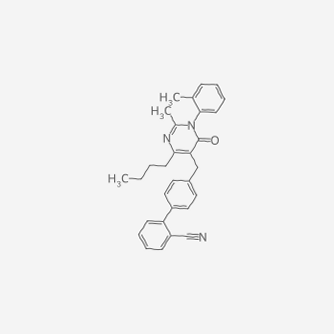 CCCCc1nc(C)n(-c2ccccc2C)c(=O)c1Cc1ccc(-c2ccccc2C#N)cc1